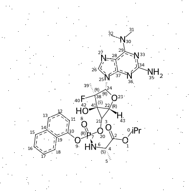 CC(C)OC(=O)[C@H](C)N[P@](=O)(Oc1cccc2ccccc12)OC1[C@H]2O[C@@H](n3cnc4c(N(C)C)nc(N)nc43)[C@](C)(F)[C@@]12O